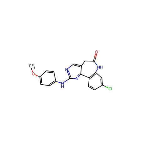 O=C1Cc2cnc(Nc3ccc(OC(F)(F)F)cc3)nc2-c2ccc(Cl)cc2N1